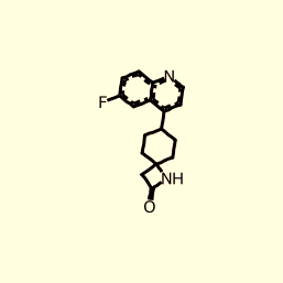 O=C1CC2(CCC(c3ccnc4ccc(F)cc34)CC2)N1